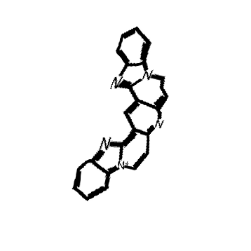 C1=c2nc3cc[n+]4c(c3cc2-c2nc3ccccc3n2C1)N=c1ccccc1=4